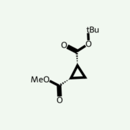 COC(=O)[C@H]1C[C@H]1C(=O)OC(C)(C)C